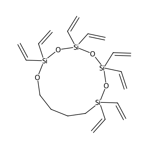 C=C[Si]1(C=C)CCCCO[Si](C=C)(C=C)O[Si](C=C)(C=C)O[Si](C=C)(C=C)O1